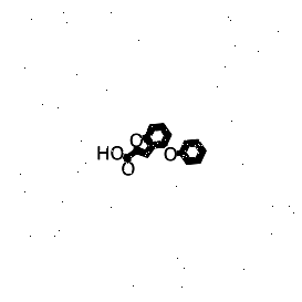 O=C(O)c1cc2c(Oc3ccccc3)cccc2o1